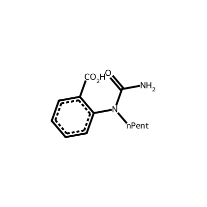 CCCCCN(C(N)=O)c1ccccc1C(=O)O